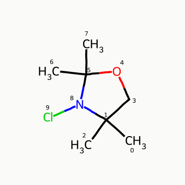 CC1(C)COC(C)(C)N1Cl